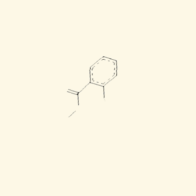 CCOC(=O)c1ccccc1[At]